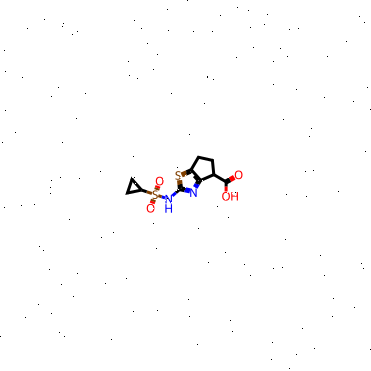 O=C(O)C1CCc2sc(NS(=O)(=O)C3CC3)nc21